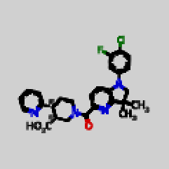 CC1(C)CN(c2ccc(Cl)c(F)c2)c2ccc(C(=O)N3CC[C@@H](c4ccccn4)[C@H](C(=O)O)C3)nc21